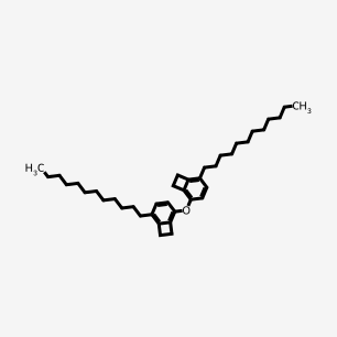 CCCCCCCCCCCCc1ccc(Oc2ccc(CCCCCCCCCCCC)c3c2CC3)c2c1CC2